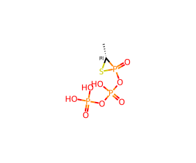 C[C@H]1SP1(=O)OP(=O)(O)OP(=O)(O)O